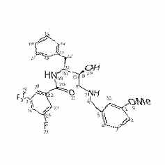 COc1cccc(CNC[C@H](O)[C@H](Cc2ccccc2)NC(=O)c2cc(F)cc(C(F)(F)F)c2)c1